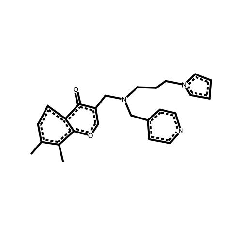 Cc1ccc2c(=O)c(CN(CCCn3cccc3)Cc3ccncc3)coc2c1C